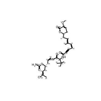 COC1=CC[C@@H]([C@@H](C)/C=C(C)/C=C\C#CC(=O)NC(C(=O)N/C=C\C[C@H](C/C=C(\C)Cl)OC(N)=O)C(C)(C)C)OC1=O